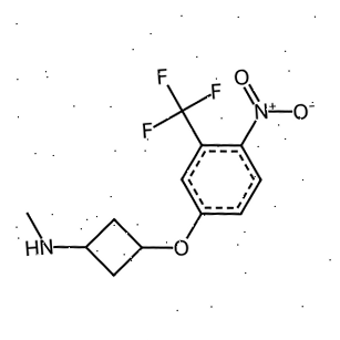 CNC1CC(Oc2ccc([N+](=O)[O-])c(C(F)(F)F)c2)C1